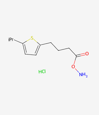 CC(C)c1ccc(CCCC(=O)ON)s1.Cl